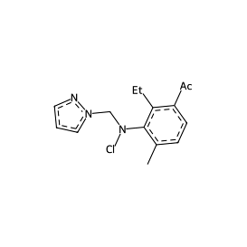 CCc1c(C(C)=O)ccc(C)c1N(Cl)Cn1cccn1